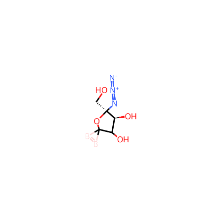 [N-]=[N+]=N[C@]1(CO)OC2(B=B2)C(O)[C@@H]1O